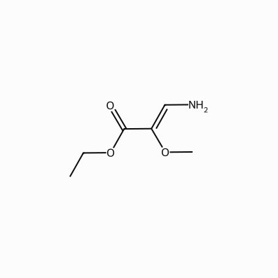 CCOC(=O)C(=CN)OC